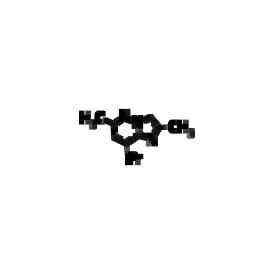 Cc1cn2nc(C)cc(C(C)C)c2n1